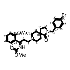 COC(=O)NC(CCN1CCC2(CC1)CCN(Cc1ccc(Br)cc1)C2=O)c1ccccc1OC